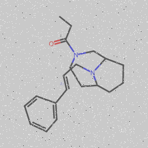 CCC(=O)N1CCC2CCCC(C1)N2C/C=C/c1ccccc1